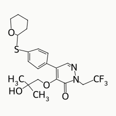 CC(C)(O)COc1c(-c2ccc(SC3CCCCO3)cc2)cnn(CC(F)(F)F)c1=O